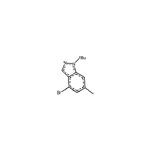 Cc1cc(Br)c2cnn(C(C)(C)C)c2c1